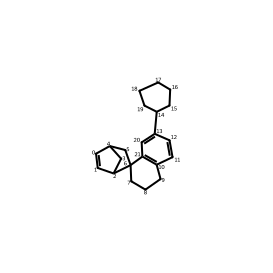 C1=CC2CC1CC21CCCc2ccc(C3CCCCC3)cc21